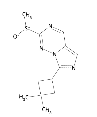 C[S+]([O-])c1ncc2cnc(C3CC(C)(C)C3)n2n1